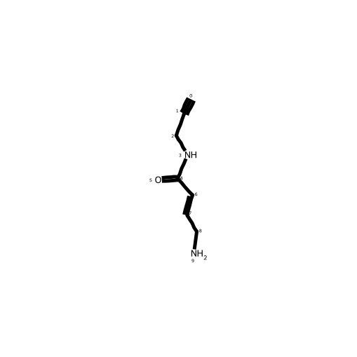 C#CCNC(=O)C=CCN